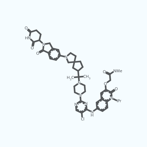 CNC(=O)COc1cc2cc(Nc3nc(N4CCN(C(C)(C)C5CCC6(CCN(c7ccc8c(c7)CN(C7CCC(=O)NC7=O)C8=O)C6)C5)CC4)ncc3Cl)ccc2n(C(C)C)c1=O